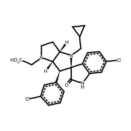 O=C(O)CN1CC[C@H]2[C@@H]1[C@H](c1cccc(Cl)c1)[C@]1(C(=O)Nc3cc(Cl)ccc31)N2CC1CC1